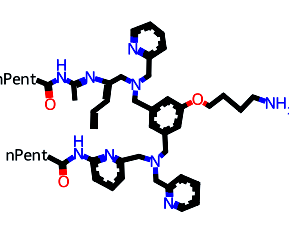 C=C/C=C(CN(Cc1cc(CN(Cc2ccccn2)Cc2cccc(NC(=O)CCCCC)n2)cc(OCCCCN)c1)Cc1ccccn1)\N=C(/C)NC(=O)CCCCC